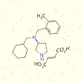 Cc1ccccc1CN(CC1CCCCC1)[C@H]1CCNC1.O=C(O)/C=C/C(=O)O